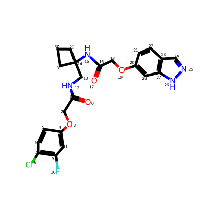 O=C(COc1ccc(Cl)c(F)c1)NCC1(NC(=O)COc2ccc3cn[nH]c3c2)CCC1